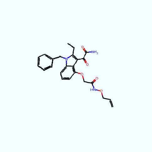 C=CCONC(=O)COc1cccc2c1c(C(=O)C(N)=O)c(CC)n2Cc1ccccc1